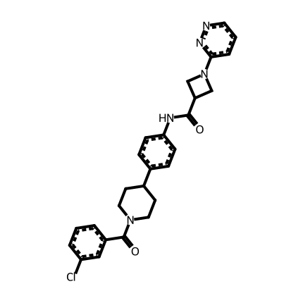 O=C(Nc1ccc(C2CCN(C(=O)c3cccc(Cl)c3)CC2)cc1)C1CN(c2cccnn2)C1